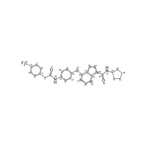 O=C(Cc1ccc(C(F)(F)F)cc1)Nc1ccc(Oc2ncnc3c2ccn3C(=O)NC2CCCC2)cc1